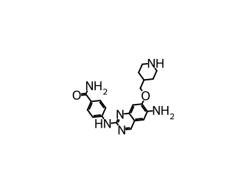 NC(=O)c1ccc(Nc2ncc3cc(N)c(OCC4CCNCC4)cc3n2)cc1